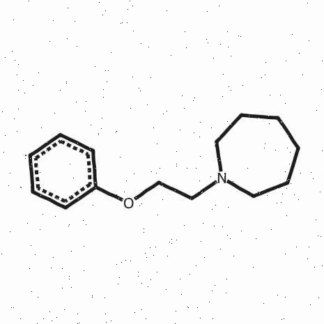 [c]1ccc(OCCN2CCCCCC2)cc1